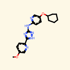 COc1ccc(-c2nc(Nc3ccc(OC4CCCCC4)cn3)n[nH]2)nc1